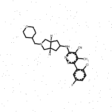 Cc1c(-c2cc(F)ccc2Cl)nnc(NC2C[C@@H]3CN(CC4CCOCC4)C[C@@H]3C2)c1C#N